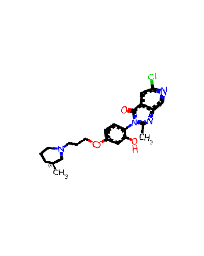 Cc1nc2cnc(Cl)cc2c(=O)n1-c1ccc(OCCCN2CCC[C@H](C)C2)cc1O